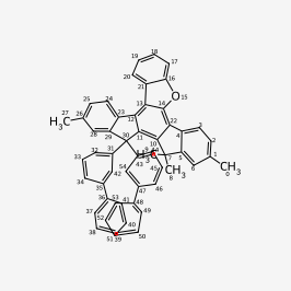 Cc1ccc2c(c1)C(C)(C)c1c3c(c4c(oc5ccccc54)c1-2)-c1ccc(C)cc1C3(c1cccc(-c2ccccc2)c1)c1cccc(-c2ccccc2)c1